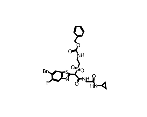 O=C(CNC(=O)C(c1nc2cc(F)c(Br)cc2s1)S(=O)(=O)CCNC(=O)OCc1ccccc1)NC1CC1